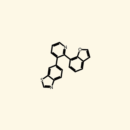 c1cnc(-c2cccc3ccoc23)c(-c2ccc3ncsc3c2)c1